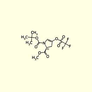 COC(=O)[C@@H]1CC(OS(=O)(=O)C(F)(F)F)=CN1C(=O)OC(C)(C)C